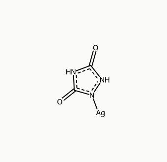 O=c1[nH]c(=O)[n]([Ag])[nH]1